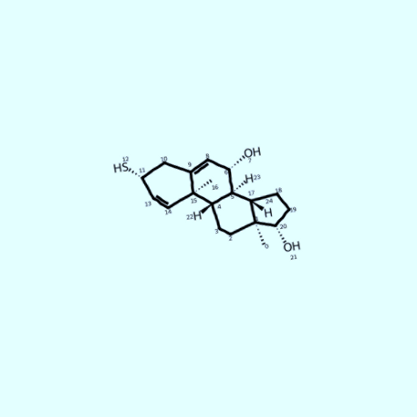 C[C@]12CC[C@H]3[C@@H]([C@@H](O)C=C4C[C@@H](S)C=C[C@@]43C)[C@@H]1CC[C@@H]2O